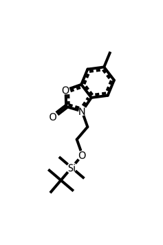 Cc1ccc2c(c1)oc(=O)n2CCO[Si](C)(C)C(C)(C)C